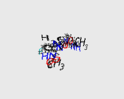 COC(=O)NCCCn1cc([C@@H](C)N(C(=O)[C@H]2CN[C@@H](C)CO2)C2CC2)nc1-c1ccc(F)cc1